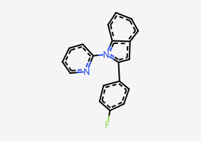 Fc1ccc(-c2cc3ccccc3n2-c2ccccn2)cc1